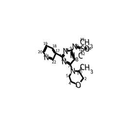 C[C@@H]1COCCN1c1cc(N=S(C)(C)=O)nc(-c2cccnc2)n1